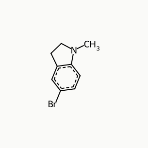 CN1CCc2cc(Br)ccc21